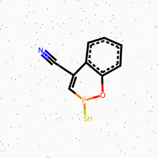 N#CC1=CP(S)Oc2ccccc21